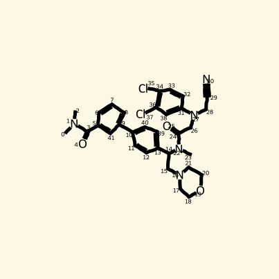 CN(C)C(=O)c1cccc(-c2ccc(C(CN3CCOCC3)N(C)C(=O)CN(CC#N)c3ccc(Cl)c(Cl)c3)cc2)c1